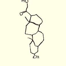 CC12CCC(O)CC1CCC1C2CCC2(C)C(C(=O)CO)CCC12